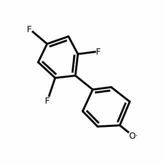 [O]c1ccc(-c2c(F)cc(F)cc2F)cc1